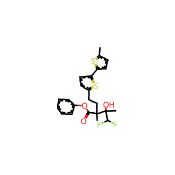 Cc1ccc(-c2ccc(CCC(C)(C(=O)Oc3ccccc3)C(C)(O)C(F)F)s2)s1